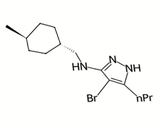 CCCc1[nH]nc(NC[C@H]2CC[C@H](C)CC2)c1Br